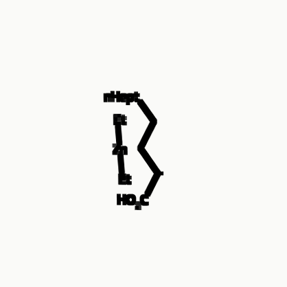 CCCCCCCCC[CH]C(=O)O.C[CH2][Zn][CH2]C